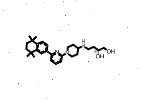 CC1(C)CCC(C)(C)c2cc(-c3cccc(N4CCC(NCC[C@@H](O)CO)CC4)n3)ccc21